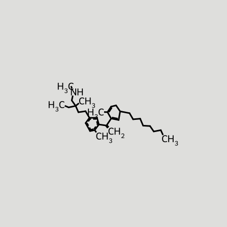 C=C(C1=CC(CCCCCCCC)CC=C1C)c1cc(CCC(C)(CC)CNC)ccc1C